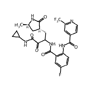 C[C@@H]1C[C@@H](CC(NC(=O)c2cc(F)ccc2NC(=O)c2ccnc(C(F)(F)F)c2)C(=O)C(=O)NC2CC2)C(=O)N1